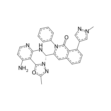 Cc1nnc(-c2c(N)ccnc2N[C@@H](C)c2cc3cccc(-c4cnn(C)c4)c3c(=O)n2-c2ccccc2)o1